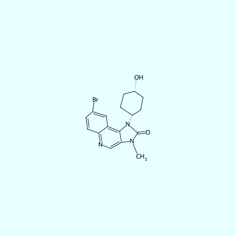 Cn1c(=O)n([C@H]2CC[C@@H](O)CC2)c2c3cc(Br)ccc3ncc21